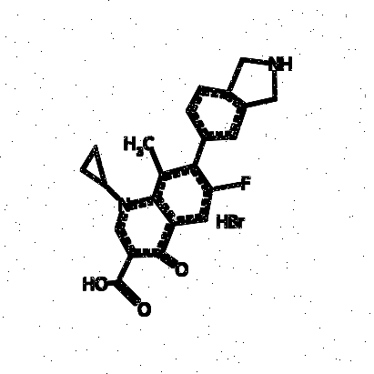 Br.Cc1c(-c2ccc3c(c2)CNC3)c(F)cc2c(=O)c(C(=O)O)cn(C3CC3)c12